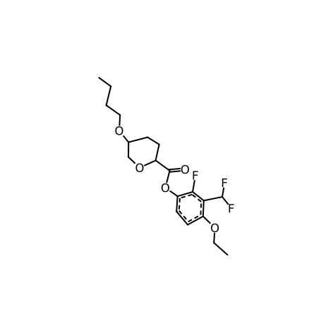 CCCCOC1CCC(C(=O)Oc2ccc(OCC)c(C(F)F)c2F)OC1